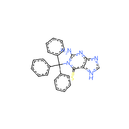 Nc1nc2nc[nH]c2c(=S)n1C(c1ccccc1)(c1ccccc1)c1ccccc1